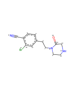 N#Cc1ccc(CCN2CCNCC2=O)cc1Br